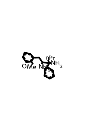 CCCC(N)(c1ccccc1)C(N)Cc1ccccc1OC